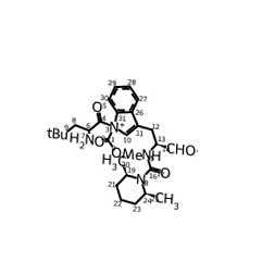 COC(=O)[N+]1(C(=O)[C@@H](N)CC(C)(C)C)C=C(C[C@@H]([C]=O)NC(=O)N2[C@H](C)CCC[C@@H]2C)c2ccccc21